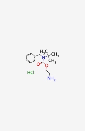 CC(C)(C)N(Cc1ccccc1)C(=O)OCCN.Cl